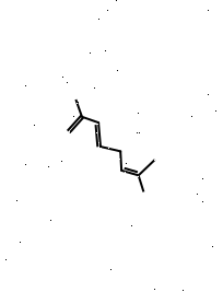 C=C(C)/C=C/CC=C(C)C